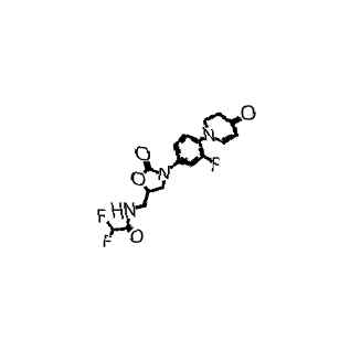 O=C1C=CN(c2ccc(N3CC(CNC(=O)C(F)F)OC3=O)cc2F)CC1